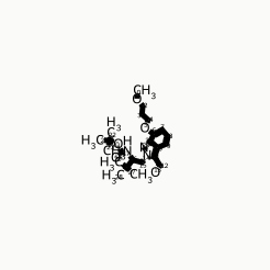 COCCCOc1cccc2c(C=O)n(CC(NC(=O)OC(C)(C)C)C(C)(C)C)nc12